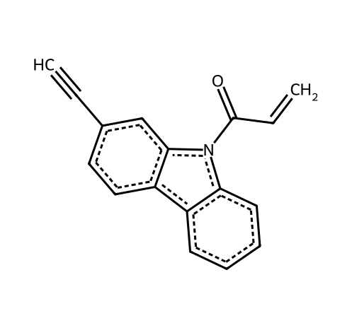 C#Cc1ccc2c3ccccc3n(C(=O)C=C)c2c1